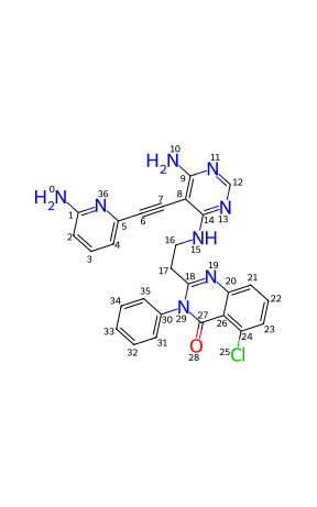 Nc1cccc(C#Cc2c(N)ncnc2NCCc2nc3cccc(Cl)c3c(=O)n2-c2ccccc2)n1